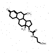 CCCCCCCCCCCCNC(=O)OC1CCC2C3C(C)CC4=CC(=O)CCC4C3CCC12C